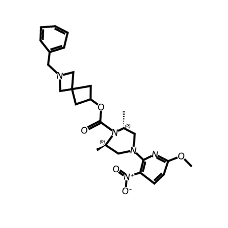 COc1ccc([N+](=O)[O-])c(N2C[C@@H](C)N(C(=O)OC3CC4(C3)CN(Cc3ccccc3)C4)[C@H](C)C2)n1